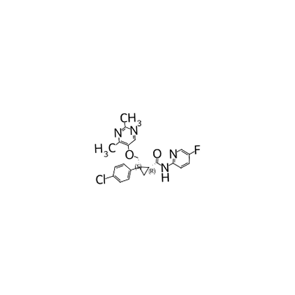 Cc1ncc(OC[C@@]2(c3ccc(Cl)cc3)C[C@H]2C(=O)Nc2ccc(F)cn2)c(C)n1